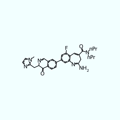 CCCN(CCC)C(=O)C1=Cc2c(F)cc(-c3ccc4c(c3)C=NC(Cc3nccn3C)C4=O)cc2N=C(N)C1